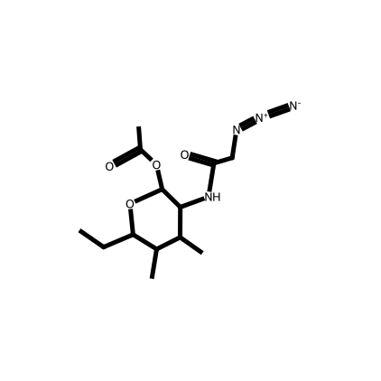 CCC1OC(OC(C)=O)C(NC(=O)CN=[N+]=[N-])C(C)C1C